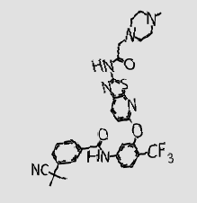 CN1CCN(CC(=O)Nc2nc3ccc(Oc4cc(NC(=O)c5cccc(C(C)(C)C#N)c5)ccc4C(F)(F)F)nc3s2)CC1